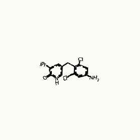 CC(C)c1cc(Cc2c(Cl)cc(N)cc2Cl)c[nH]c1=O